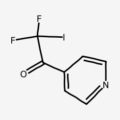 O=C(c1ccncc1)C(F)(F)I